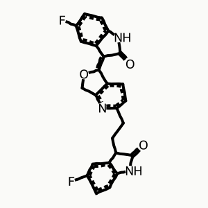 O=C1Nc2ccc(F)cc2/C1=C1\OCc2nc(CCC3C(=O)Nc4ccc(F)cc43)ccc21